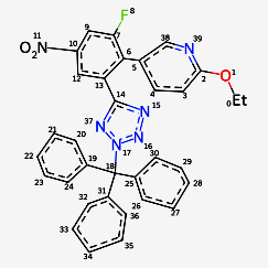 CCOc1ccc(-c2c(F)cc([N+](=O)[O-])cc2-c2nnn(C(c3ccccc3)(c3ccccc3)c3ccccc3)n2)cn1